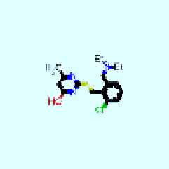 CCN(CC)Cc1cccc(Cl)c1CSc1nc(C)cc(O)n1